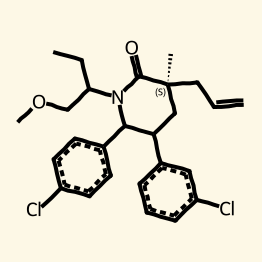 C=CC[C@@]1(C)CC(c2cccc(Cl)c2)C(c2ccc(Cl)cc2)N(C(CC)COC)C1=O